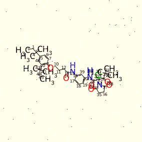 CCC(C)(C)c1ccc(OCCCC(=O)Nc2cccc(NC(=O)C(Cl)(C(=O)C(C)(C)C)N3C(=O)CCC3=O)c2)c(C(C)(C)CC)c1